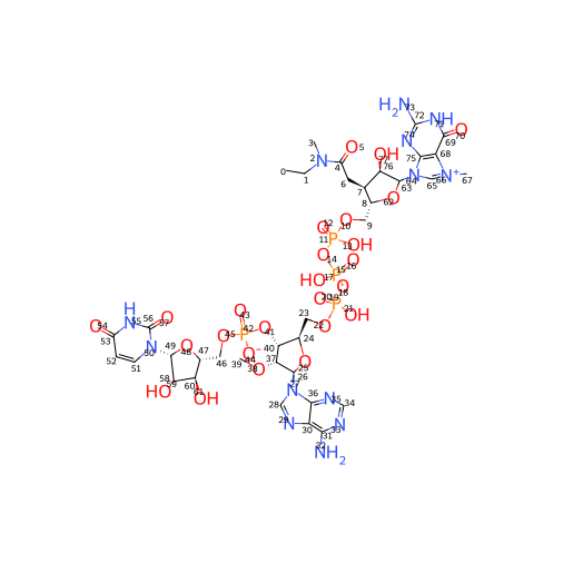 CCN(C)C(=O)C[C@@H]1[C@@H](COP(=O)(O)OP(=O)(O)OP(=O)(O)OC[C@H]2O[C@@H](n3cnc4c(N)ncnc43)[C@H](OC)[C@@H]2OP(=O)([O-])OC[C@H]2O[C@@H](n3ccc(=O)[nH]c3=O)[C@H](O)[C@@H]2O)OC(n2c[n+](C)c3c(=O)[nH]c(N)nc32)[C@@H]1O